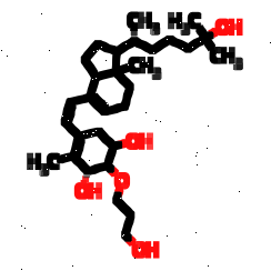 CC1=C(/C=C\C2=CCCC3(C)C2CCC3[C@H](C)CCCC(C)(C)O)CC(O)C(OCCCO)[C@@H]1O